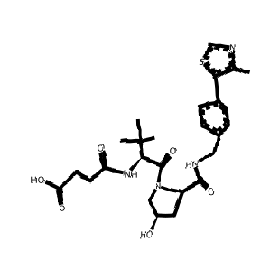 Cc1ncsc1-c1ccc(CNC(=O)C2C[C@@H](O)CN2C(=O)[C@@H](NC(=O)CCC(=O)O)C(C)(C)C)cc1